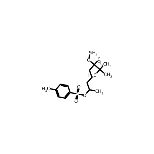 Cc1ccc(S(=O)(=O)OC(C)CCCC(C)(O[SiH3])C(C)(C)C)cc1